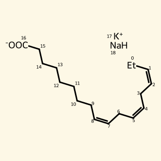 CC/C=C\C/C=C\C/C=C\CCCCCCCC(=O)[O-].[K+].[NaH]